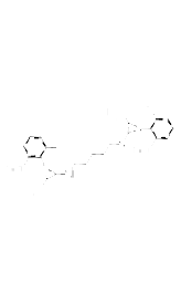 CCCc1cccc(CCC)c1N1C(NCCCCCNC2C(C(F)(F)F)N2c2c(CCC)cccc2CCC)C1C(F)(F)F